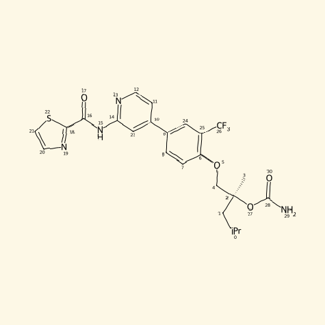 CC(C)C[C@@](C)(COc1ccc(-c2ccnc(NC(=O)c3nccs3)c2)cc1C(F)(F)F)OC(N)=O